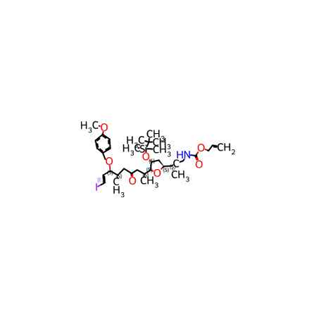 C=CCOC(=O)NCC[C@H](C)[C@@H]1C[C@H](O[Si](C)(C)C(C)(C)C)[C@H]([C@@H](C)CC(=O)C[C@H](C)[C@@H](/C=C/I)OCc2ccc(OC)cc2)O1